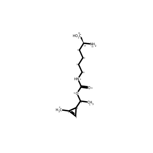 CC1=CC1C(C)OC(=O)NCCCC[C@H](N)C(=O)O